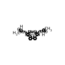 COc1nc(-c2cccc(-c3cccc(-c4cnc(CNC[C@@H]5C[C@@H](C)C(=O)N5)c(OC)n4)c3Cl)c2Cl)cnc1CNC[C@@H]1C[C@@H](C)C(=O)N1